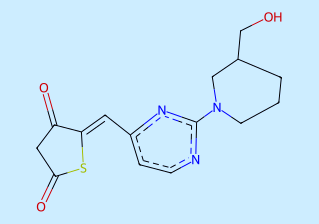 O=C1CC(=O)/C(=C/c2ccnc(N3CCCC(CO)C3)n2)S1